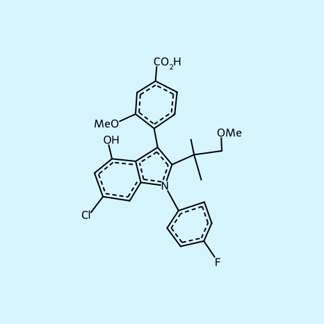 COCC(C)(C)c1c(-c2ccc(C(=O)O)cc2OC)c2c(O)cc(Cl)cc2n1-c1ccc(F)cc1